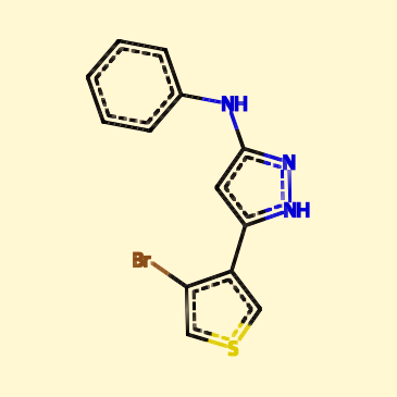 Brc1cscc1-c1cc(Nc2ccccc2)n[nH]1